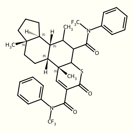 CC1C(C(=O)N(c2ccccc2)C(F)(F)F)C2SC(=O)C(C(=O)N(c3ccccc3)C(F)(F)F)=C[C@]2(C)[C@@H]2CC[C@]3(C)CCC[C@H]3[C@H]12